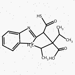 CC(C)C(C(=O)O)(C(C)C)C(C(=O)S)c1nc2ccccc2s1